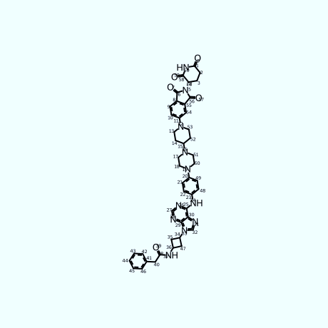 O=C1CC[C@H](N2C(=O)c3ccc(N4CCC(N5CCN(c6ccc(Nc7ncnc8c7ncn8C7CC(NC(=O)Cc8ccccc8)C7)cc6)CC5)CC4)cc3C2=O)C(=O)N1